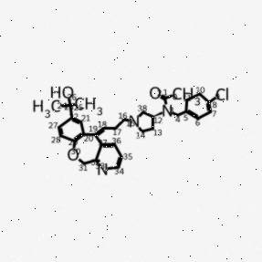 CC(=O)N(CC1=CC=C(Cl)CC1)[C@H]1CCN(CC/C=C2/c3cc(C(C)(C)O)ccc3OCc3ncccc32)C1